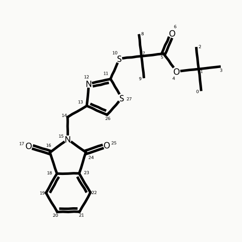 CC(C)(C)OC(=O)C(C)(C)Sc1nc(CN2C(=O)c3ccccc3C2=O)cs1